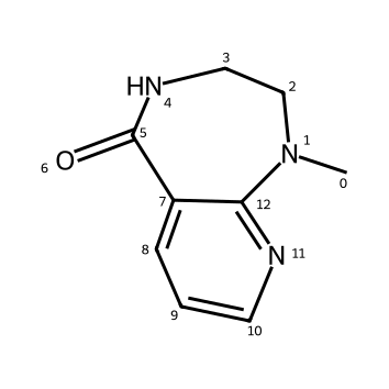 CN1CCNC(=O)c2cccnc21